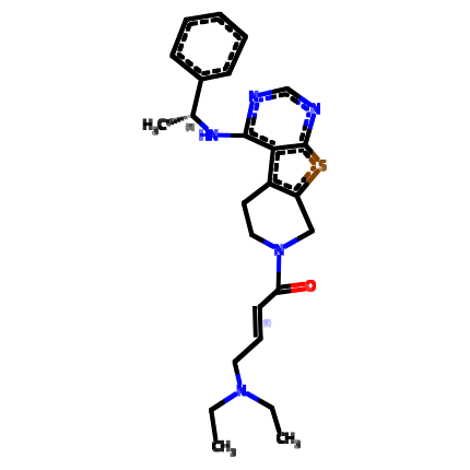 CCN(CC)C/C=C/C(=O)N1CCc2c(sc3ncnc(N[C@H](C)c4ccccc4)c23)C1